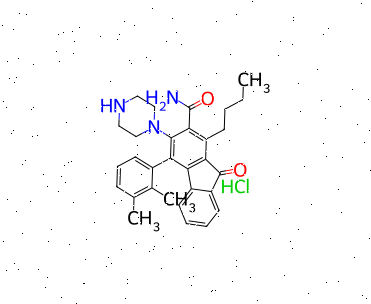 CCCCc1c2c(c(-c3cccc(C)c3C)c(N3CCNCC3)c1C(N)=O)-c1ccccc1C2=O.Cl